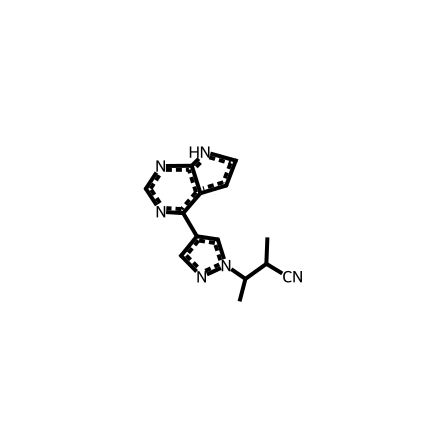 CC(C#N)C(C)n1cc(-c2ncnc3[nH]ccc23)cn1